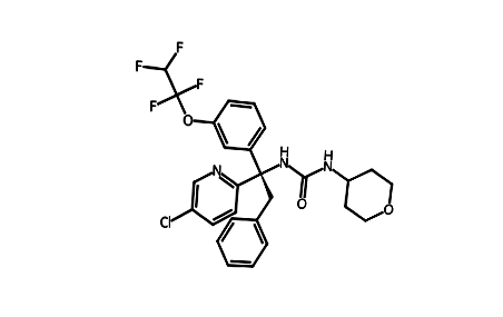 O=C(NC1CCOCC1)N[C@@](Cc1ccccc1)(c1cccc(OC(F)(F)C(F)F)c1)c1ccc(Cl)cn1